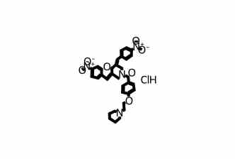 Cl.O=C1C(=Cc2ccc([N+](=O)[O-])cc2)CN(C(=O)c2ccc(OCCN3CCCCC3)cc2)CC1=Cc1ccc([N+](=O)[O-])cc1